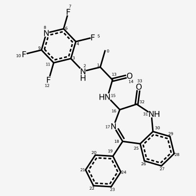 CC(Nc1c(F)c(F)nc(F)c1F)C(=O)NC1N=C(c2ccccc2)c2ccccc2NC1=O